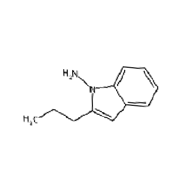 CCCc1cc2ccccc2n1N